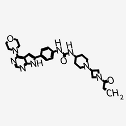 C=CC(=O)N1CC(N2CCC(NC(=O)Nc3ccc(-c4cc5c(N6CCOCC6)ncnc5[nH]4)cc3)CC2)C1